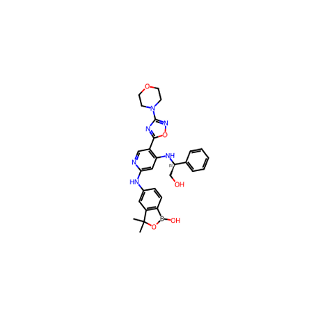 CC1(C)OB(O)c2ccc(Nc3cc(N[C@H](CO)c4ccccc4)c(-c4nc(N5CCOCC5)no4)cn3)cc21